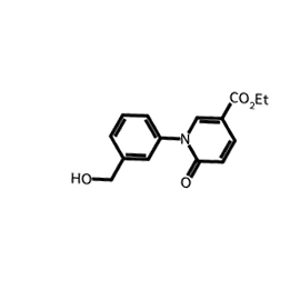 CCOC(=O)c1ccc(=O)n(-c2cccc(CO)c2)c1